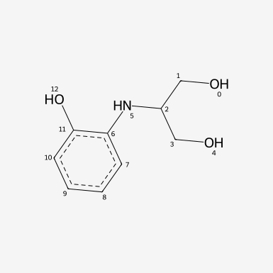 OCC(CO)Nc1ccccc1O